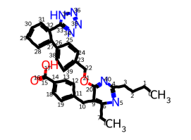 CCCCc1nc(CC)c(Cc2ccc(C(=O)O)cc2)c(OCc2ccc(-c3ccccc3-c3nnn[nH]3)cc2)n1